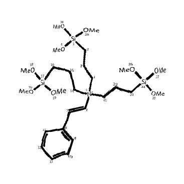 CO[Si](CCC[N+](C=Cc1ccccc1)(CCC[Si](OC)(OC)OC)CCC[Si](OC)(OC)OC)(OC)OC